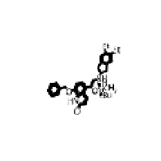 CCc1cc2c(cc1CC)CC(NCC(O[Si](C)(C)C(C)(C)C)c1ccc(OCc3ccccc3)c3[nH]c(=O)ccc13)C2